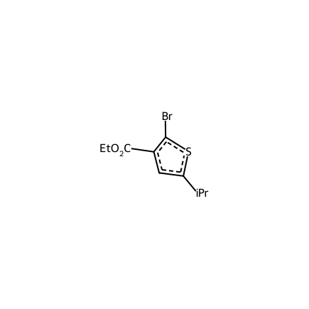 CCOC(=O)c1cc(C(C)C)sc1Br